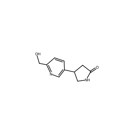 O=C1CC(c2ccc(CO)nc2)CN1